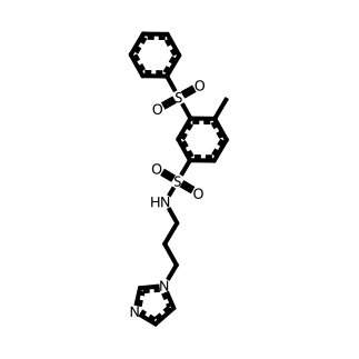 Cc1ccc(S(=O)(=O)NCCCn2ccnc2)cc1S(=O)(=O)c1ccccc1